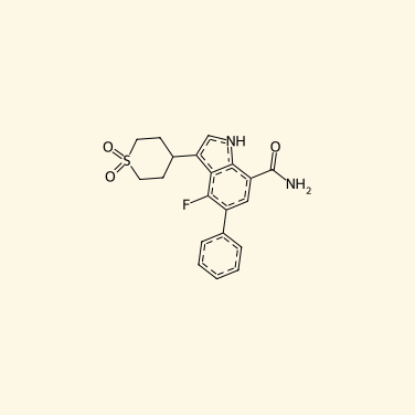 NC(=O)c1cc(-c2ccccc2)c(F)c2c(C3CCS(=O)(=O)CC3)c[nH]c12